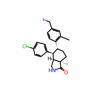 Cc1cc(CI)ccc1[C@@H]1CC[C@@]2(C)C(=O)NC[C@H]2[C@H]1c1ccc(Cl)cc1